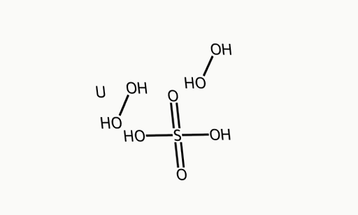 O=S(=O)(O)O.OO.OO.[U]